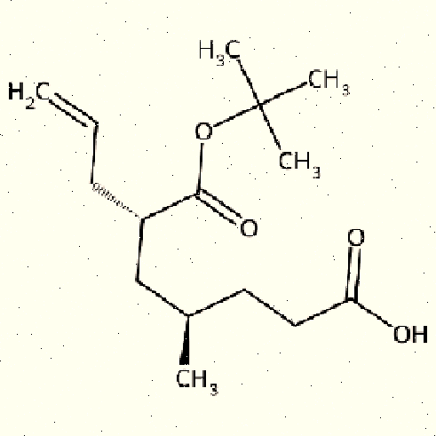 C=CC[C@@H](C[C@H](C)CCC(=O)O)C(=O)OC(C)(C)C